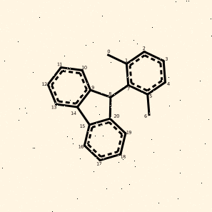 Cc1cccc(C)c1C1c2ccccc2-c2ccccc21